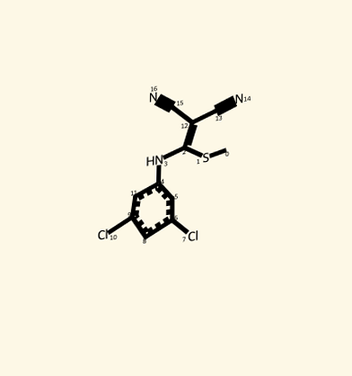 CSC(Nc1cc(Cl)cc(Cl)c1)=C(C#N)C#N